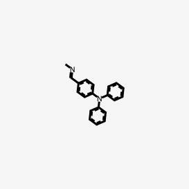 C/N=C/c1ccc(N(c2ccccc2)c2ccccc2)cc1